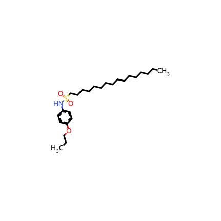 CCCCCCCCCCCCCCCCS(=O)(=O)Nc1ccc(OCCC)cc1